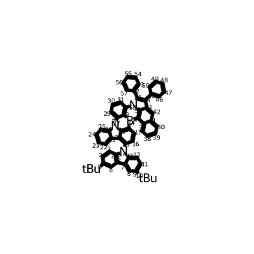 CC(C)(C)c1ccc2c(c1)c1cc(C(C)(C)C)ccc1n2-c1ccc2c3c1c1ccccc1n3-c1cccc3c1B2c1c2ccccc2cc2c(-c4ccccc4)c(-c4ccccc4)n-3c12